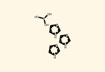 OB(O)O.c1c[nH]cn1.c1c[nH]cn1.c1c[nH]cn1